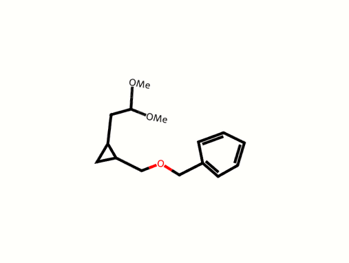 COC(CC1CC1COCc1ccccc1)OC